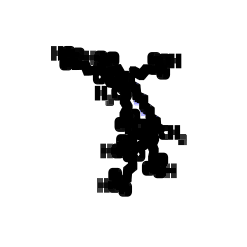 C=C(/C=C/C=C/C=C/C=C1/N(CCCCS(=O)(=O)O)c2cc(S(=O)(=O)O)c(OCCCCS(=O)(=O)O)cc2C1(C)CCCCS(=O)(=O)O)C(C)(CCCCS(=O)(=O)O)c1cc(OCCCCS(=O)(=O)O)c(S(=O)(=O)O)cc1C